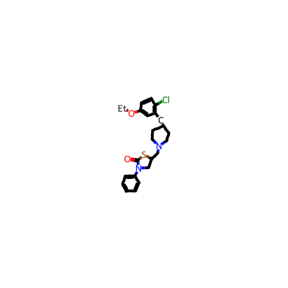 CCOc1ccc(Cl)c(CC2CCN(CC3CN(c4ccccc4)C(=O)S3)CC2)c1